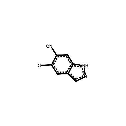 O=Nc1cc2[nH]ncc2cc1Cl